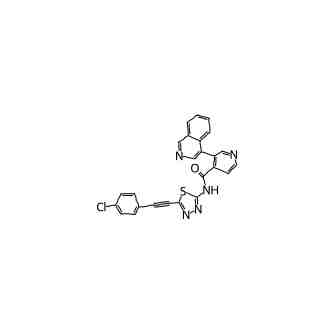 O=C(Nc1nnc(C#Cc2ccc(Cl)cc2)s1)c1ccncc1-c1cncc2ccccc12